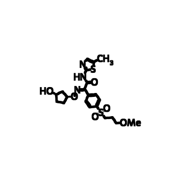 COCCCS(=O)(=O)c1ccc(/C(=N\O[C@@H]2CC[C@@H](O)C2)C(=O)Nc2ncc(C)s2)cc1